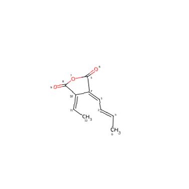 C/C=C/C=C1/C(=O)OC(=O)/C1=C/C